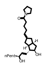 CCCCC[C@H](O)C=C[C@@H]1[C@H]2CC(=CCCCC(=O)N3CCCC3)C[C@H]2C[C@H]1O